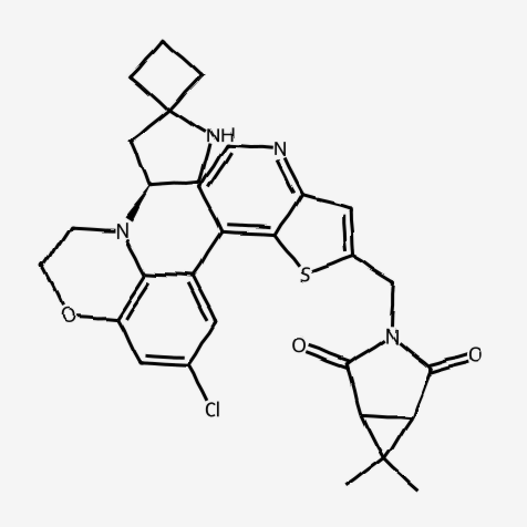 CC1(C)C2C(=O)N(Cc3cc4nccc(-c5cc(Cl)cc6c5N([C@@H]5CNC7(CCC7)C5)CCO6)c4s3)C(=O)C21